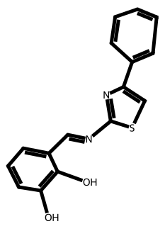 Oc1cccc(C=Nc2nc(-c3ccccc3)cs2)c1O